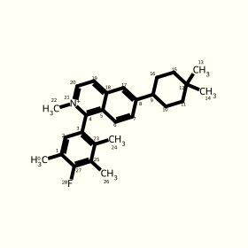 Cc1cc(-c2c3ccc(C4CCC(C)(C)CC4)cc3cc[n+]2C)c(C)c(C)c1F